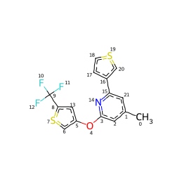 Cc1cc(Oc2csc(C(F)(F)F)c2)nc(-c2ccsc2)c1